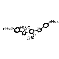 CCCCCCc1ccc(-c2ccc(-c3cc(C(=O)O)c(-c4ccc(-c5ccc(CCCCCC)cc5)s4)cc3OC=O)s2)cc1